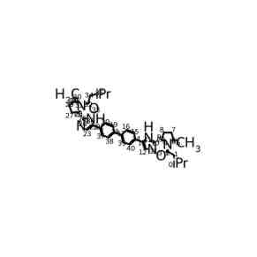 CC(C)CC(=O)N1[C@H](C)CC[C@H]1c1ncc(-c2ccc(-c3ccc(-c4cnc([C@@H]5CC[C@@H](C)N5C(=O)CC(C)C)[nH]4)cc3)cc2)[nH]1